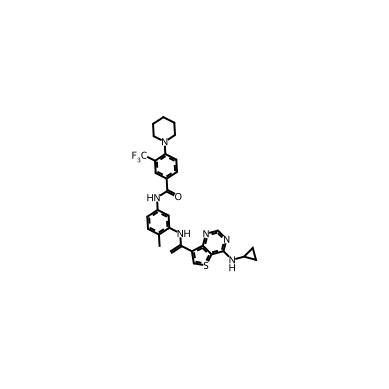 C=C(Nc1cc(NC(=O)c2ccc(N3CCCCC3)c(C(F)(F)F)c2)ccc1C)c1csc2c(NC3CC3)ncnc12